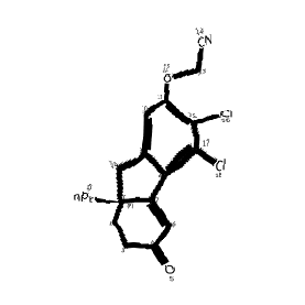 CCC[C@]12CCC(=O)C=C1c1c(cc(OCC#N)c(Cl)c1Cl)C2